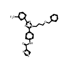 O=C(Nc1ccc(-c2nc(-c3cccc(C(F)(F)F)c3)nn2CCCOCc2ccccc2)cc1)c1cscn1